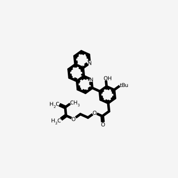 C=C(C)C(=C)OCCOC(=O)Cc1cc(-c2ccc3ccc4cccnc4c3n2)c(O)c(C(C)(C)C)c1